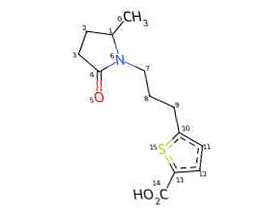 CC1CCC(=O)N1CCCc1ccc(C(=O)O)s1